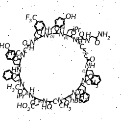 CCCC[C@H]1C(=O)N(C)CC(=O)N[C@@H](CC(=O)O)C(=O)N[C@@H](C(C)C)C(=O)N(C)[C@@H](Cc2ccccc2)C(=O)N[C@@H](Cc2ccc(O)cc2)C(=O)N(C)CC(=O)N[C@@H](Cc2cccc(C(F)(F)F)c2)C(=O)N[C@@H](Cc2ccc(O)cc2)C(=O)N[C@@H](CC(C)C)C(=O)N[C@H](C(=O)NCC(N)=O)CSCC(=O)N[C@@H](Cc2ccccc2)C(=O)N(C)[C@@H](Cc2ccccc2)C(=O)N1C